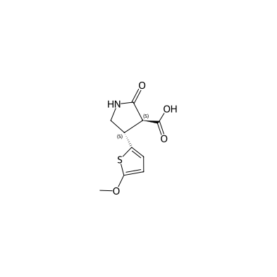 COc1ccc([C@@H]2CNC(=O)[C@H]2C(=O)O)s1